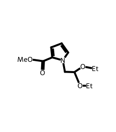 CCOC(Cn1cccc1C(=O)OC)OCC